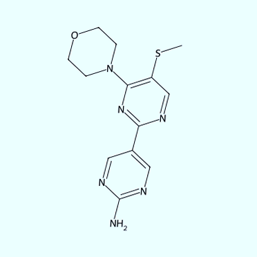 CSc1cnc(-c2cnc(N)nc2)nc1N1CCOCC1